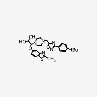 Cc1nc2cc(OC(C(C)O)N3CCN(Cc4nc(-c5ccc(C(C)(C)C)cc5)no4)CC3)ccc2s1